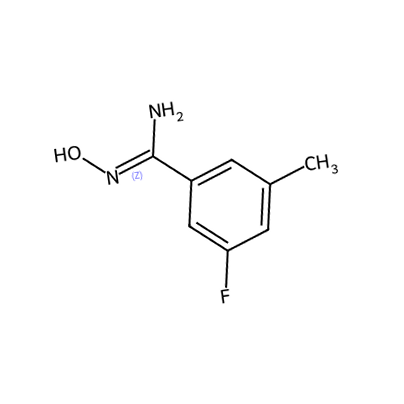 Cc1cc(F)cc(/C(N)=N/O)c1